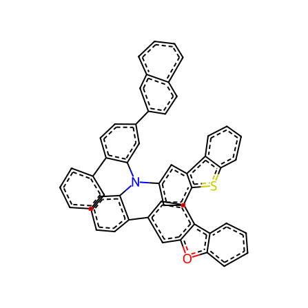 c1ccc(-c2ccc(-c3ccc4ccccc4c3)cc2N(c2ccc3sc4ccccc4c3c2)c2ccccc2-c2ccc3c(c2)oc2ccccc23)cc1